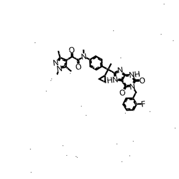 Cc1nn(C)c(C)c1C(=O)C(=O)N(C)c1ccc(C(C)(c2nc3[nH]c(=O)n(Cc4ccccc4F)c(=O)c3[nH]2)C2CC2)cc1